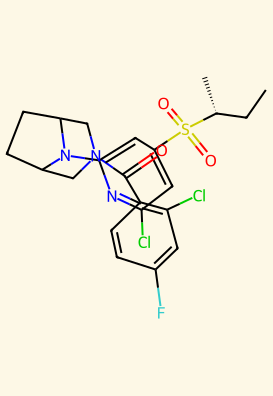 CC[C@@H](C)S(=O)(=O)c1cc(Cl)nc(N2C3CCC2CN(C(=O)c2ccc(F)cc2Cl)C3)c1